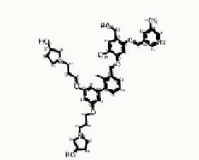 Cc1c(COc2cc(OCc3cncc(C#N)c3)c(CO)cc2Cl)cccc1-c1cc(OCCCN2CCC(O)C2)cc(OCCCN2CCC(O)C2)c1